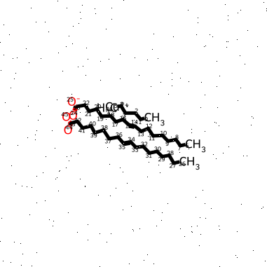 CCCCCC.CCCCCCCCC=CCCCCCCCC(=O)[O-].CCCCCCCCC=CCCCCCCCC(=O)[O-].[Cu+2]